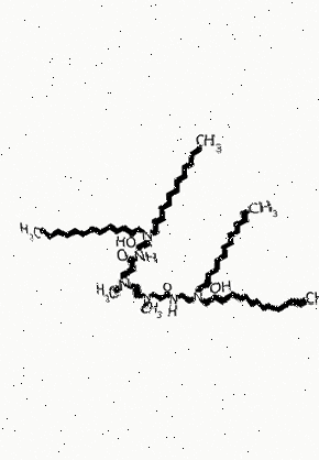 CCCCCCCCCCCCCCN(CCNC(=O)CCN(C)CCN(C)CCC(=O)NCCN(CCCCCCCCCCCCCC)CC(O)CCCCCCCCCCCC)CC(O)CCCCCCCCCCCC